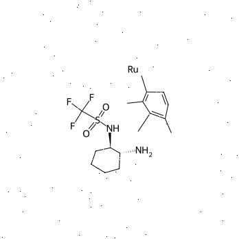 Cc1ccc(C)c(C)c1C.N[C@@H]1CCCC[C@H]1NS(=O)(=O)C(F)(F)F.[Ru]